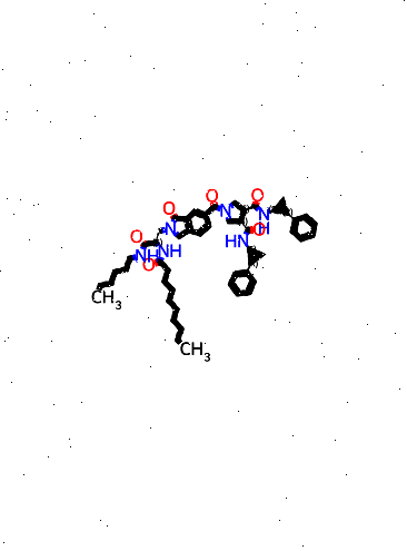 CCCCCCCCCC(=O)N[C@@H](CN1Cc2ccc(C(=O)N3C[C@@H](C(=O)N[C@H]4C[C@@H]4c4ccccc4)[C@H](C(=O)N[C@H]4C[C@@H]4c4ccccc4)C3)cc2C1=O)C(=O)NCCCCCC